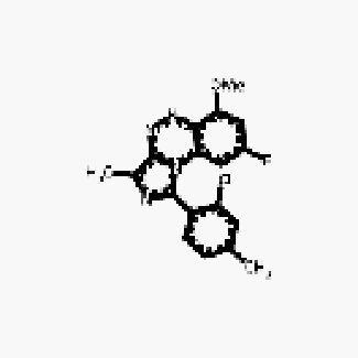 COc1cc(F)cc2c1nnc1c(C)nc(-c3ccc(C)cc3Cl)n12